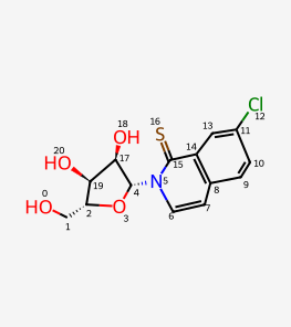 OC[C@H]1O[C@@H](n2ccc3ccc(Cl)cc3c2=S)[C@H](O)[C@@H]1O